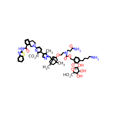 Cc1c(-c2ccc(N3CCc4cccc(C(=O)Nc5nc6ccccc6s5)c4C3)nc2C(=O)O)cnn1CC12CC3(C)CC(C)(C1)CC(OCCN(CCC(N)=O)C(=O)OCc1ccc(CCCCN)cc1O[C@H]1O[C@@H](C(=O)O)[C@H](O)[C@@H](O)[C@@H]1O)(C3)C2